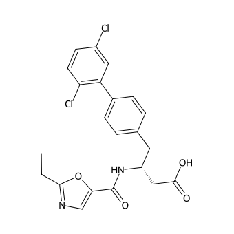 CCc1ncc(C(=O)N[C@@H](CC(=O)O)Cc2ccc(-c3cc(Cl)ccc3Cl)cc2)o1